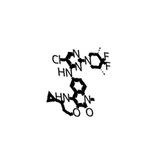 C[C@@H]1CN(c2ncc(Cl)c(Nc3ccc4c(c3)c3c(c(=O)n4C)OCCC(C4CC4)N3)n2)C[C@H](C)C1(F)F